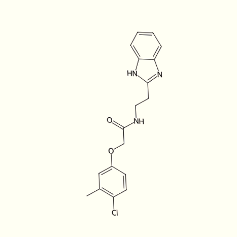 Cc1cc(OCC(=O)NCCc2nc3ccccc3[nH]2)ccc1Cl